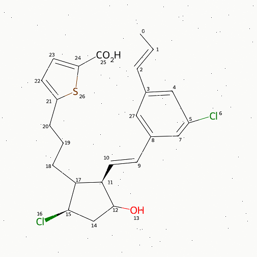 C/C=C/c1cc(Cl)cc(C=C[C@H]2C(O)C[C@@H](Cl)C2CCCc2ccc(C(=O)O)s2)c1